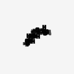 CC(C)(C)OC(=O)Nc1ccc(NC(=O)c2cccc(C(=O)Nc3ccc(NC(=O)OC(C)(C)C)cc3)c2)cc1